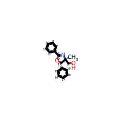 C[C@@]1(CO)N=C(c2ccccc2)O[C@H]1c1ccccc1